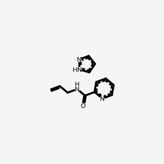 C=CCNC(=O)c1ccccn1.c1cn[nH]c1